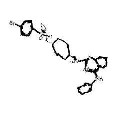 O=S(=O)(NC[C@H]1CC[C@H](CNc2nc(Nc3ccccc3)c3ccccc3n2)CC1)c1ccc(Br)cc1